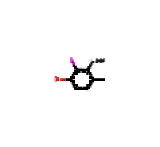 COc1c(C)ccc(Br)c1I